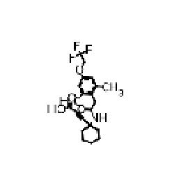 Cc1cc(OCC(F)(F)F)cc(C)c1CC(=O)NC1(C#CC(=O)O)CCCCC1